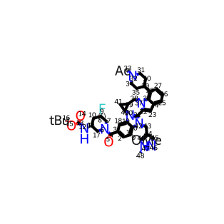 COc1cc(C(=O)N2C[C@@H](F)C[C@@H](NC(=O)OC(C)(C)C)C2)cc2nc(-c3cc4cccc(C5CCN(C(C)=O)CC5)c4n3CC3CC3)n(Cc3cnn(C)c3)c12